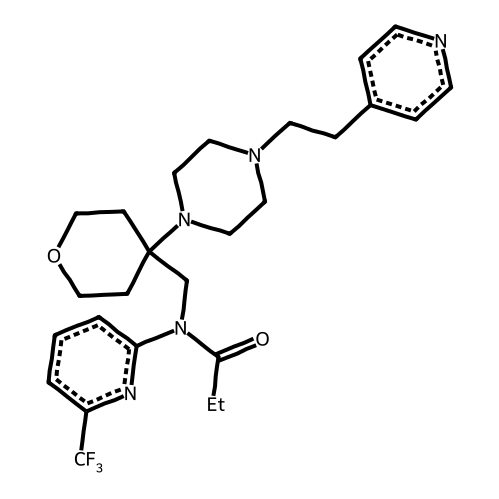 CCC(=O)N(CC1(N2CCN(CCc3ccncc3)CC2)CCOCC1)c1cccc(C(F)(F)F)n1